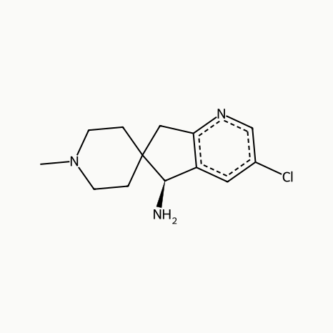 CN1CCC2(CC1)Cc1ncc(Cl)cc1[C@H]2N